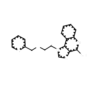 Nc1nc2ccccc2c2c1ncn2CCOCc1ccccn1